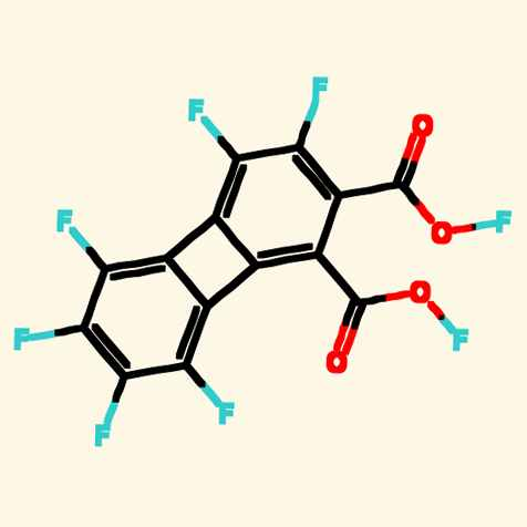 O=C(OF)c1c(F)c(F)c2c(c1C(=O)OF)-c1c(F)c(F)c(F)c(F)c1-2